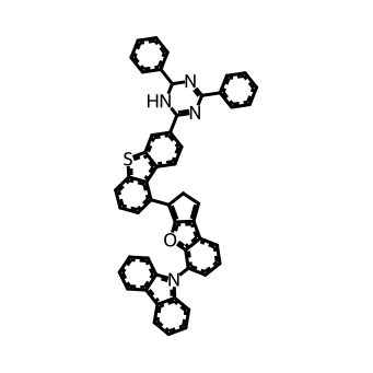 C1=c2c(oc3c(-n4c5ccccc5c5ccccc54)cccc23)=C(c2cccc3sc4cc(C5=NC(c6ccccc6)=NC(c6ccccc6)N5)ccc4c23)C1